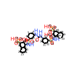 O=C(Nc1cccc(S(=O)(=O)Nc2c(O)c(S(=O)(=O)O)cc3ccccc23)c1)Nc1cccc(S(=O)(=O)Nc2c(O)c(S(=O)(=O)O)cc3ccccc23)c1